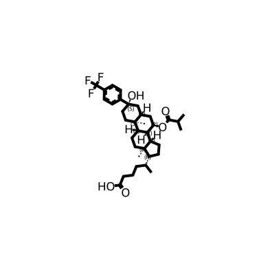 CC(C)C(=O)O[C@@H]1C[C@@H]2C[C@](O)(c3ccc(C(F)(F)F)cc3)CC[C@]2(C)[C@H]2CC[C@]3(C)[C@@H](C(C)CCCC(=O)O)CC[C@H]3[C@H]12